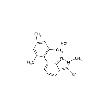 Cc1cc(C)c(-c2cccc3c(Br)n(C)nc23)c(C)c1.Cl